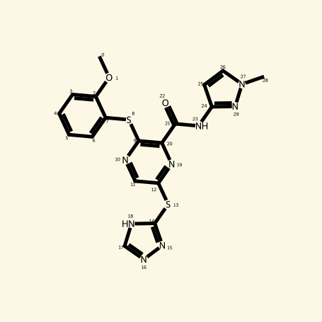 COc1ccccc1Sc1ncc(Sc2nnc[nH]2)nc1C(=O)Nc1ccn(C)n1